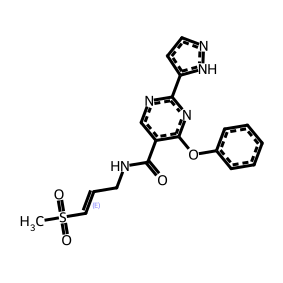 CS(=O)(=O)/C=C/CNC(=O)c1cnc(-c2ccn[nH]2)nc1Oc1ccccc1